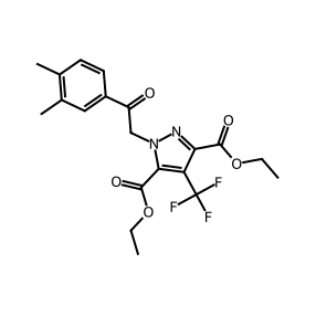 CCOC(=O)c1nn(CC(=O)c2ccc(C)c(C)c2)c(C(=O)OCC)c1C(F)(F)F